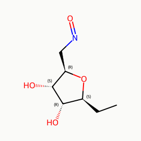 CC[C@@H]1O[C@H](CN=O)[C@@H](O)[C@H]1O